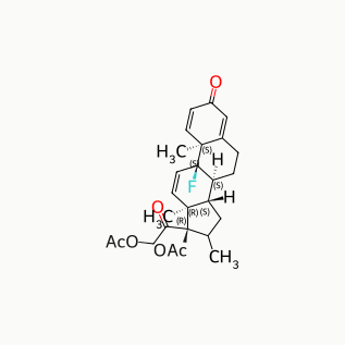 CC(=O)OCC(=O)[C@@]1(OC(C)=O)C(C)C[C@H]2[C@@H]3CCC4=CC(=O)C=C[C@]4(C)[C@@]3(F)C=C[C@@]21C